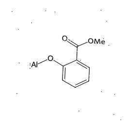 COC(=O)c1ccccc1[O][Al]